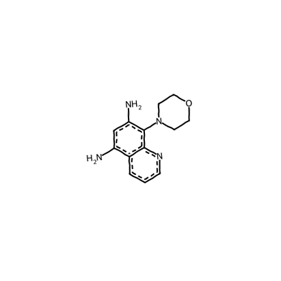 Nc1cc(N)c2cccnc2c1N1CCOCC1